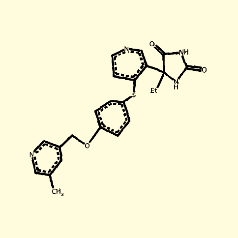 CCC1(c2cnccc2Sc2ccc(OCc3cncc(C)c3)cc2)NC(=O)NC1=O